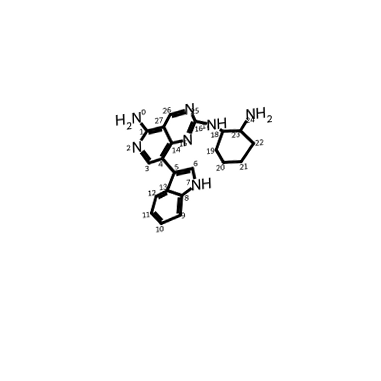 Nc1ncc(-c2c[nH]c3ccccc23)c2nc(NC3CCCCC3N)ncc12